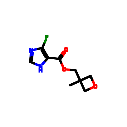 CC1(COC(=O)c2[nH]cnc2F)COC1